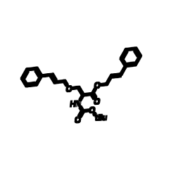 CC(C)(C)OC(=O)NC(COCC=Cc1ccccc1)C(=O)OCC=Cc1ccccc1